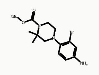 CC(C)(C)OC(=O)N1CCN(c2ccc(N)cc2Br)CC1(C)C